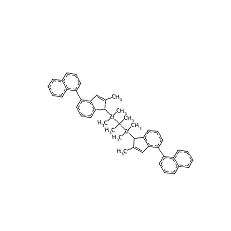 CC1=Cc2c(-c3cccc4ccccc34)cccc2[CH]1[Zr]([CH3])([CH3])[C](C)(C)[Zr]([CH3])([CH3])[CH]1C(C)=Cc2c(-c3cccc4ccccc34)cccc21